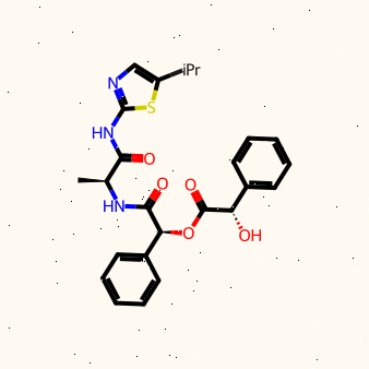 CC(C)c1cnc(NC(=O)[C@H](C)NC(=O)[C@@H](OC(=O)[C@@H](O)c2ccccc2)c2ccccc2)s1